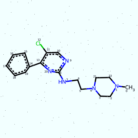 CN1CCN(CCNc2ncc(Cl)c(-c3ccccc3)n2)CC1